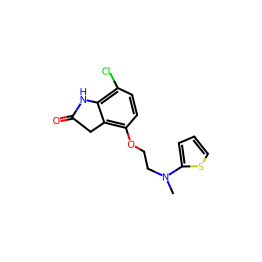 CN(CCOc1ccc(Cl)c2c1CC(=O)N2)c1cccs1